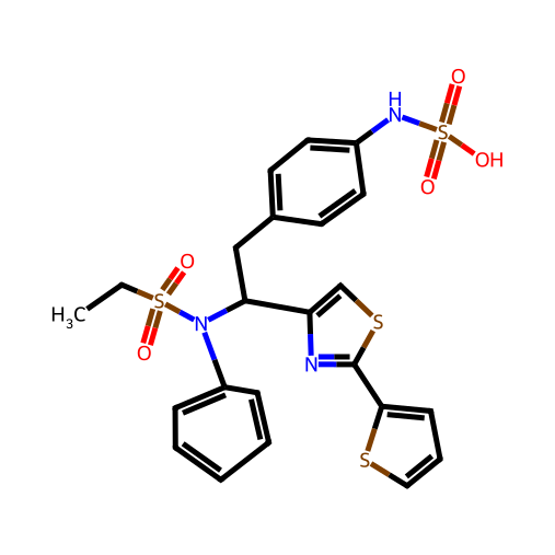 CCS(=O)(=O)N(c1ccccc1)C(Cc1ccc(NS(=O)(=O)O)cc1)c1csc(-c2cccs2)n1